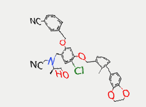 Cc1c(COc2cc(OCc3cccc(C#N)c3)c(CN(CC#N)[C@H](C)CO)cc2Cl)cccc1-c1ccc2c(c1)OCCO2